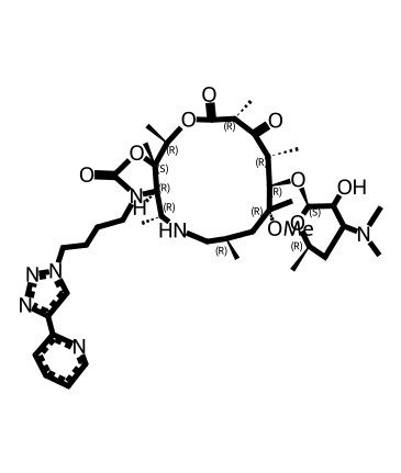 CO[C@]1(C)C[C@@H](C)CN[C@H](C)[C@H]2N(CCCCn3cc(-c4ccccn4)nn3)C(=O)O[C@]2(C)[C@@H](C)OC(=O)[C@H](C)C(=O)[C@H](C)[C@H]1O[C@@H]1O[C@H](C)CC(N(C)C)C1O